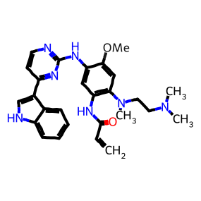 C=CC(=O)Nc1cc(Nc2nccc(-c3c[nH]c4ccccc34)n2)c(OC)cc1N(C)CCN(C)C